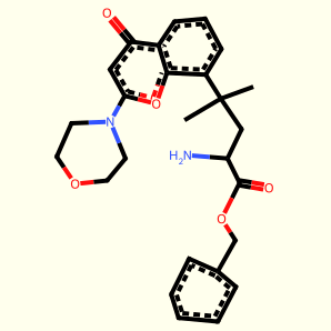 CC(C)(CC(N)C(=O)OCc1ccccc1)c1cccc2c(=O)cc(N3CCOCC3)oc12